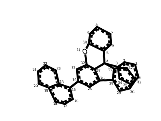 c1ccc(C23c4ccccc4Oc4cc(-c5cccc6ccccc56)cc(c42)-c2ccccc23)cc1